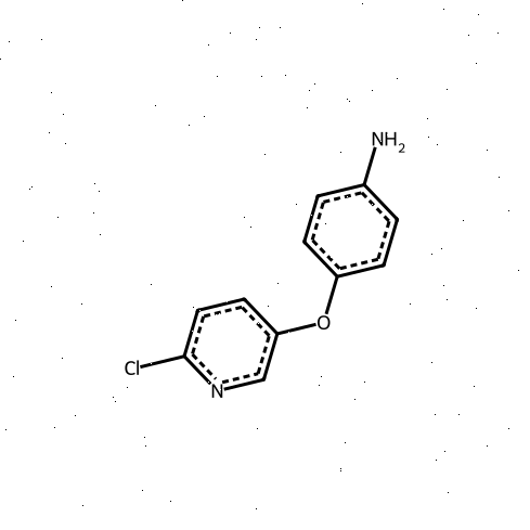 Nc1ccc(Oc2ccc(Cl)nc2)cc1